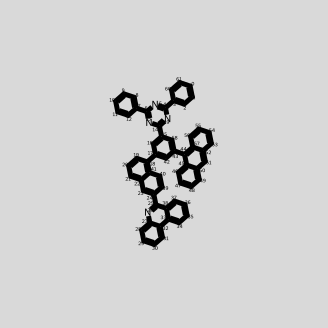 c1ccc(-c2nc(-c3ccccc3)nc(-c3cc(-c4cccc5cc(-c6nc7ccccc7c7ccccc67)ccc45)cc(-c4c5ccccc5cc5ccccc45)c3)n2)cc1